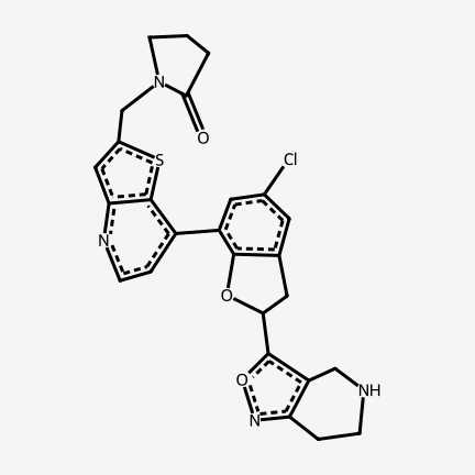 O=C1CCCN1Cc1cc2nccc(-c3cc(Cl)cc4c3OC(c3onc5c3CNCC5)C4)c2s1